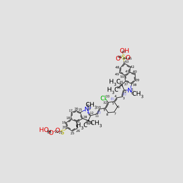 CN1/C(=C/C=C2\CCCC(/C=C/C3=[N+](C)c4ccc5cc(SOOO)ccc5c4C3(C)C)=C2Cl)C(C)(C)c2c1ccc1cc(S(=O)(=O)O)ccc21